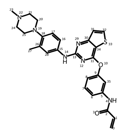 C=CC(=O)Nc1cccc(Oc2nc(Nc3ccc(N4CCN(C)CC4)c(C)c3)nc3ccsc23)c1